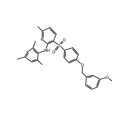 COc1cccc(COc2ccc(S(=O)(=O)c3ccc(C)nc3Nc3c(C)cc(C)cc3C)cc2)c1